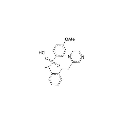 COc1ccc(S(=O)(=O)Nc2ccccc2/C=C/c2cnccn2)cc1.Cl